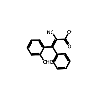 N#CC(C([O])=O)=C(c1ccccc1)c1ccccc1C=O